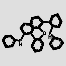 c1ccc(Pc2ccccc2-c2ccccc2Oc2ccccc2-c2ccccc2Pc2ccccc2)cc1